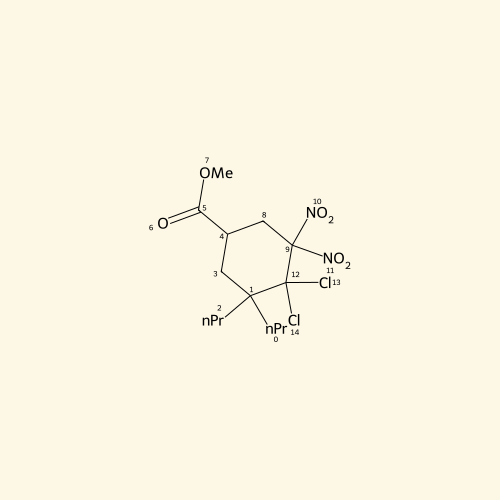 CCCC1(CCC)CC(C(=O)OC)CC([N+](=O)[O-])([N+](=O)[O-])C1(Cl)Cl